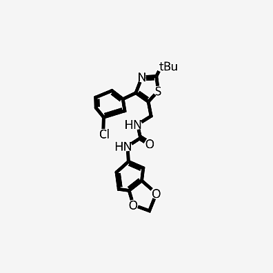 CC(C)(C)c1nc(-c2cccc(Cl)c2)c(CNC(=O)Nc2ccc3c(c2)OCO3)s1